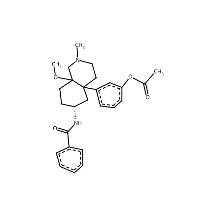 COC12CC[C@@H](NC(=O)c3ccccc3)CC1(c1cccc(OC(C)=O)c1)CCN(C)C2